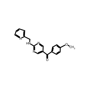 COc1ccc(C(=O)c2cnc(NCc3ccccn3)nc2)cc1